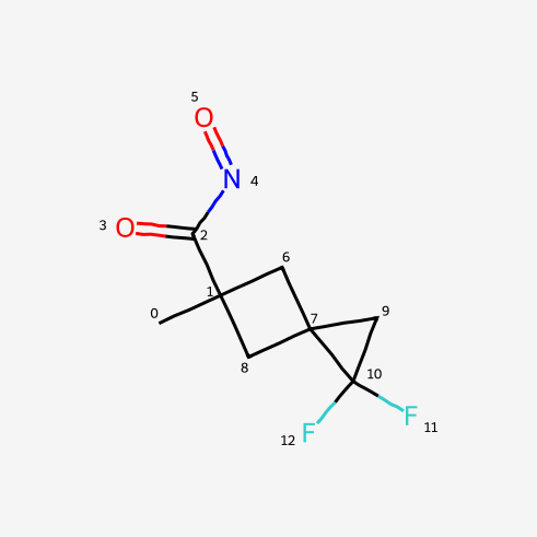 CC1(C(=O)N=O)CC2(C1)CC2(F)F